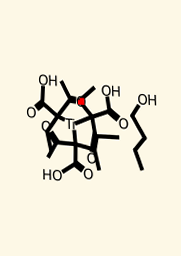 CCCCO.CC[C](C(C)=O)(C(=O)O)[Ti]([C](CC)(C(C)=O)C(=O)O)[C](CC)(C(C)=O)C(=O)O